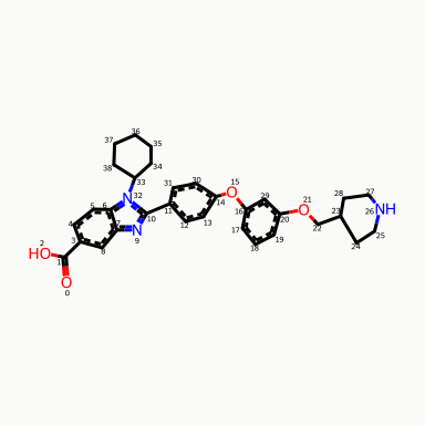 O=C(O)c1ccc2c(c1)nc(-c1ccc(Oc3cccc(OCC4CCNCC4)c3)cc1)n2C1CCCCC1